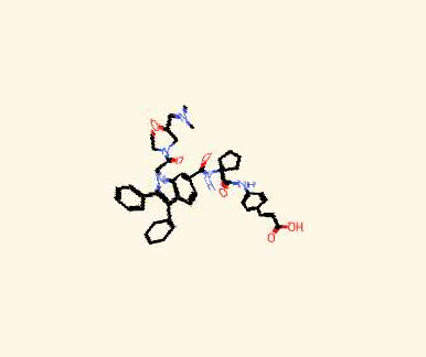 CN(C)CC1CN(C(=O)Cn2c(-c3ccccc3)c(C3CCCCC3)c3ccc(C(=O)NC4(C(=O)Nc5ccc(C=CC(=O)O)cc5)CCCC4)cc32)CCO1